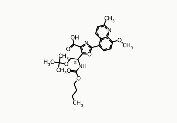 CCCCOC(=O)N[C@@H](COC(C)(C)C)c1oc(-c2ccc(OC)c3nc(C)ccc23)nc1C(=O)O